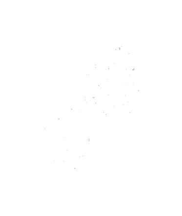 C=CCOC1(C)CCN(c2c(C(OC(C)(C)C)C(=O)O)c(C)nc3cc(COCc4ccc5ccccc5c4OC(C)CC=C)nn23)CC1